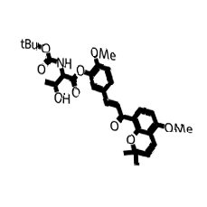 COc1ccc(/C=C/C(=O)c2ccc(OC)c3c2OC(C)(C)C=C3)cc1OC(=O)C(NC(=O)OC(C)(C)C)C(C)O